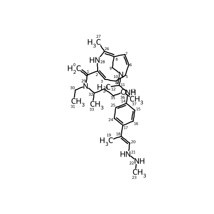 C=C(/C1=C/CC/C=C\C(C/N=C(\C)Nc2ccc(/C(C)=C/NNC)cc2)=C(/C)N1)N(CC)C(C)CCOC